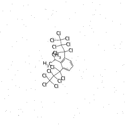 C[C](C)c1c(C(Cl)(Cl)C(Cl)(Cl)C(Cl)(Cl)Cl)cccc1C(Cl)(Cl)C(Cl)(Cl)C(Cl)(Cl)Cl